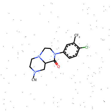 N#CN1CCN2CCN(c3ccc(Cl)c(C(F)(F)F)c3)C(=O)C2C1